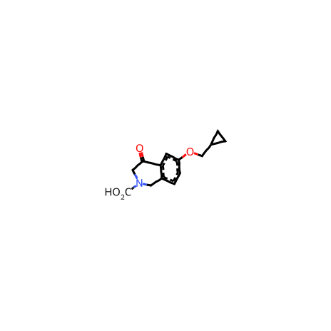 O=C1CN(C(=O)O)Cc2ccc(OCC3CC3)cc21